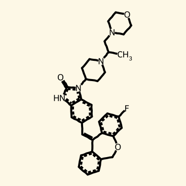 CC(CN1CCOCC1)N1CCC(n2c(=O)[nH]c3cc(C=C4c5ccccc5COc5cc(F)ccc54)ccc32)CC1